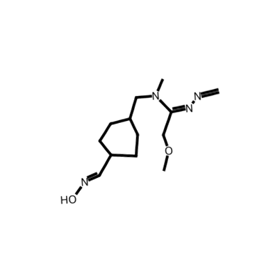 C=N/N=C(/COC)N(C)CC1CCC(/C=N/O)CC1